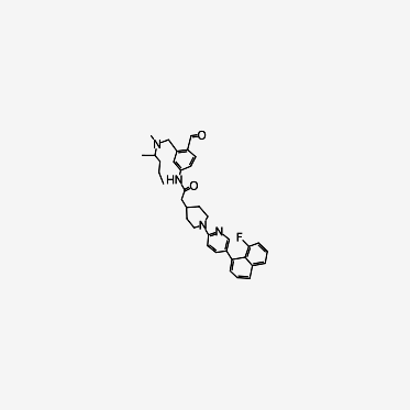 CCCC(C)N(C)Cc1cc(NC(=O)CC2CCN(c3ccc(-c4cccc5cccc(F)c45)cn3)CC2)ccc1C=O